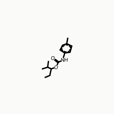 CCC(OC(=O)Nc1ccc(C)cc1)C(C)C